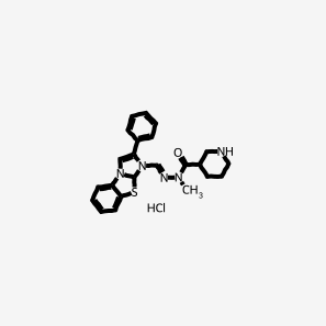 CN(N=CN1C(c2ccccc2)=CN2c3ccccc3SC12)C(=O)C1CCCNC1.Cl